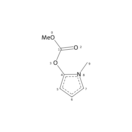 COC(=O)Oc1cccn1C